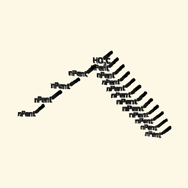 CC(=O)O.CCCCCC.CCCCCC.CCCCCC.CCCCCC.CCCCCC.CCCCCC.CCCCCC.CCCCCC.CCCCCC.CCCCCC.CCCCCC.CCCCCC.CCCCCC.CCCCCC.CCCCCC